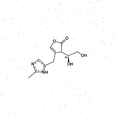 Cc1ncc(CC2=COC(=O)C2[C@H](O)CO)[nH]1